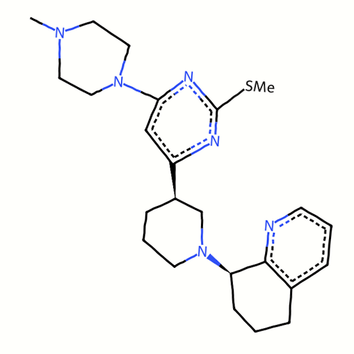 CSc1nc([C@@H]2CCCN([C@@H]3CCCc4cccnc43)C2)cc(N2CCN(C)CC2)n1